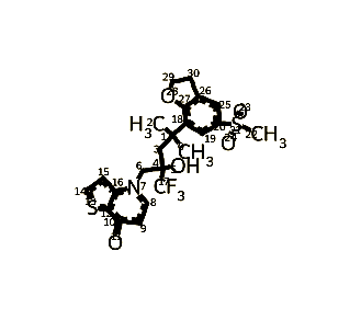 CC(C)(CC(O)(Cn1ccc(=O)c2sccc21)C(F)(F)F)c1cc(S(C)(=O)=O)cc2c1OCC2